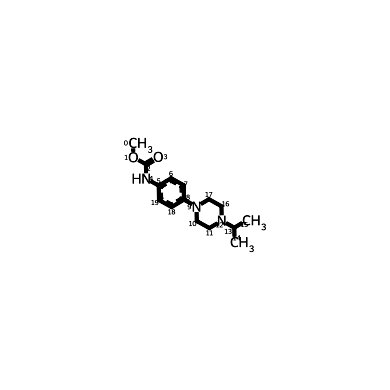 COC(=O)Nc1ccc(N2CCN(C(C)C)CC2)cc1